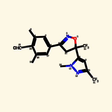 Cc1cc(C2=NOC(c3cc(C(F)(F)F)nn3C)(C(F)(F)F)C2)cc(C)c1C=O